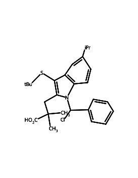 CC(C)c1ccc2c(c1)c(SC(C)(C)C)c(CC(C)(C)C(=O)O)n2C(Cl)c1ccccc1